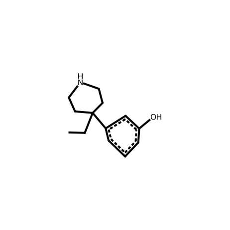 CCC1(c2cccc(O)c2)CCNCC1